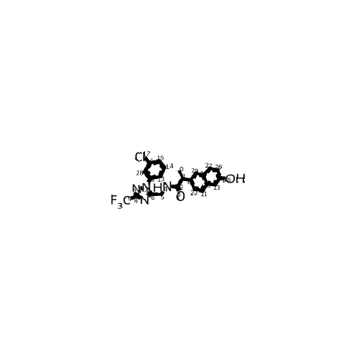 CC(C(=O)NCc1nc(C(F)(F)F)nn1-c1cccc(Cl)c1)c1ccc2cc(O)ccc2c1